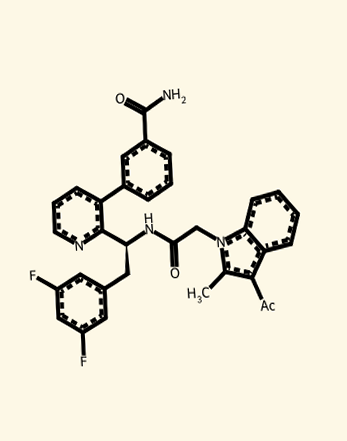 CC(=O)c1c(C)n(CC(=O)N[C@@H](Cc2cc(F)cc(F)c2)c2ncccc2-c2cccc(C(N)=O)c2)c2ccccc12